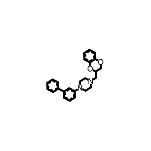 c1ccc(-c2cccc(N3CCN(CC4COc5ccccc5O4)CC3)c2)cc1